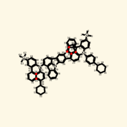 C[Si](C)(C)c1ccc(N(c2ccc(C3CCCCC3)cc2)c2ccc3c4cc5c(cc4n4c6ccccc6c2c34)c2ccc(N(c3ccc(C4CCCCC4)cc3)c3ccc([Si](C)(C)C)cc3-c3ccccc3)c3c4ccccc4n5c23)c(-c2ccccc2)c1